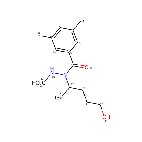 Cc1cc(C)cc(C(=O)N(NC(=O)O)C(CCCO)C(C)(C)C)c1